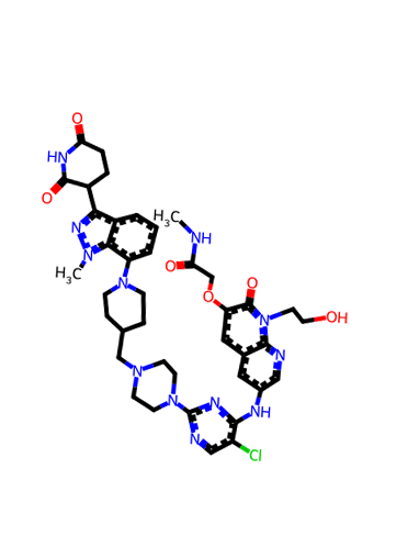 CNC(=O)COc1cc2cc(Nc3nc(N4CCN(CC5CCN(c6cccc7c(C8CCC(=O)NC8=O)nn(C)c67)CC5)CC4)ncc3Cl)cnc2n(CCO)c1=O